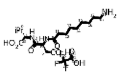 CC(C)[C@H](NC(=O)[C@H](CC(=O)O)NC(=O)CCCCCCCCN)C(=O)O.O=C(O)C(F)(F)F